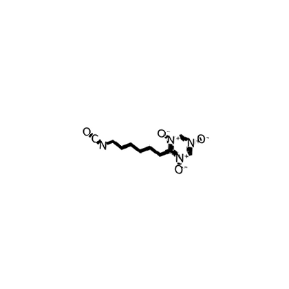 O=C=NCCCCCCc1[n+]([O-])c[n+]([O-])c[n+]1[O-]